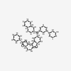 c1ccc(-c2cccc(N(c3ccc4ccccc4c3)c3ccc4oc5ccc6oc(-c7ccccc7)nc6c5c4c3)c2)cc1